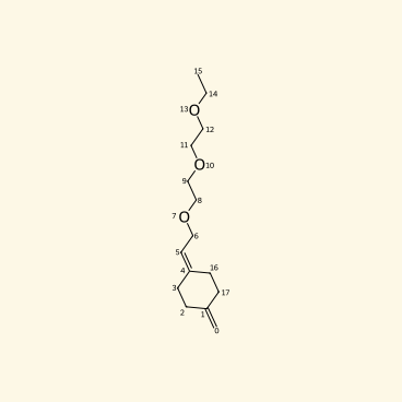 C=C1CCC(=CCOCCOCCOCC)CC1